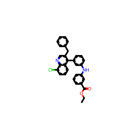 CCOC(=O)c1cccc(Nc2cccc(-c3c(Cc4ccccc4)cnc4c(Cl)cccc34)c2)c1